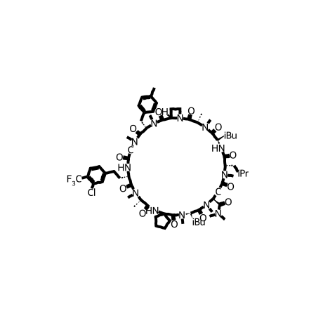 CC[C@H](C)[C@@H]1NC(=O)[C@H](CC(C)C)N(C)C(=O)C[C@@H](C(=O)N(C)C)N(C)C(=O)[C@H]([C@@H](C)CC)N(C)C(=O)C2(CCCC2)NC(=O)[C@H](C)N(C)C(=O)[C@H](CCc2ccc(C(F)(F)F)c(Cl)c2)NC(=O)CN(C)C(=O)[C@H](Cc2ccc(C)cc2)N(C)C(=O)[C@@H]2CCN2C(=O)[C@H](C)N(C)C1=O